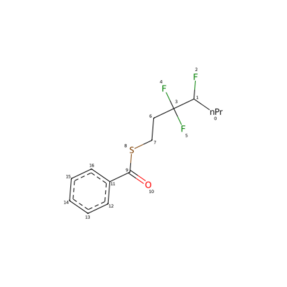 CCCC(F)C(F)(F)CCSC(=O)c1ccccc1